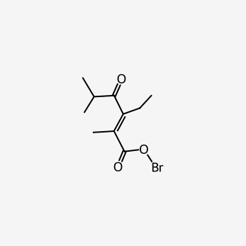 CCC(C(=O)C(C)C)=C(C)C(=O)OBr